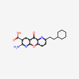 Nc1nc2oc3ccc(CCC4CCCCC4)nc3c(=O)c2cc1C(=O)O